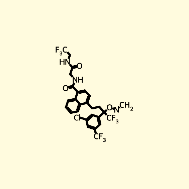 C=NOC(CCc1ccc(C(=O)NCC(=O)NCC(F)(F)F)c2ccccc12)(c1cc(Cl)cc(C(F)(F)F)c1)C(F)(F)F